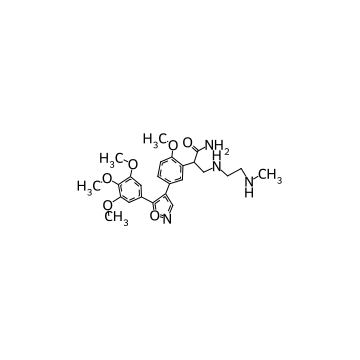 CNCCNCC(C(N)=O)c1cc(-c2cnoc2-c2cc(OC)c(OC)c(OC)c2)ccc1OC